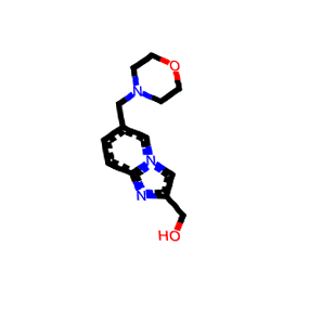 OCc1cn2cc(CN3CCOCC3)ccc2n1